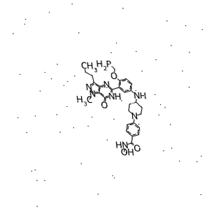 CCCc1nn(C)c2c(=O)[nH]c(-c3cc(NC4CCN(c5ccc(C(=O)NO)cc5)CC4)ccc3OCP)nc12